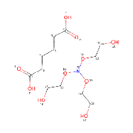 O=C(O)CCCCC(=O)O.OCCON(OCCO)OCCO